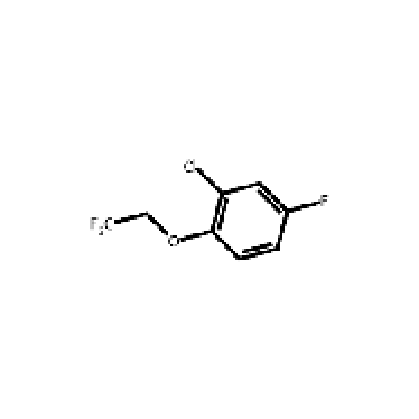 Fc1ccc(OCC(F)(F)F)c(Cl)c1